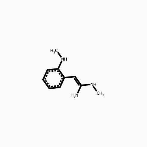 CN/C(N)=C/c1ccccc1NC